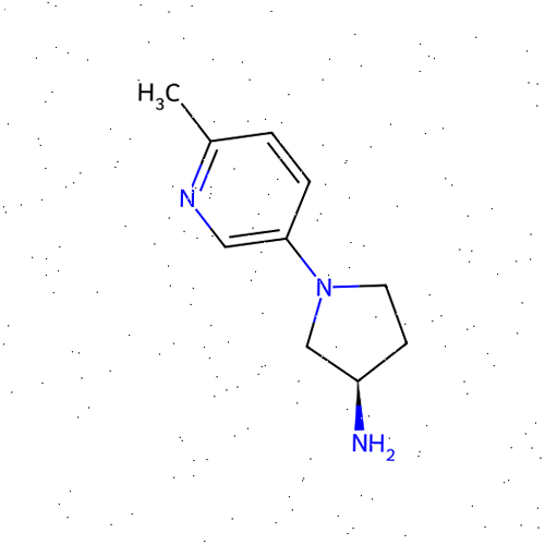 Cc1ccc(N2CC[C@@H](N)C2)cn1